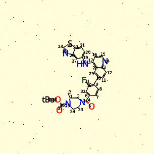 CC1CN(C(=O)c2ccc(-c3ccc4nccc(Nc5ccc6scnc6c5)c4c3)c(F)c2)CCN1C(=O)OC(C)(C)C